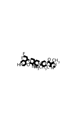 CCCCC1C(=O)N(C(CC(F)F)C2CCNCC2)CCC12CCN(C1(C)CCN(C(=O)c3c(C)ncnc3C)CC1)CC2